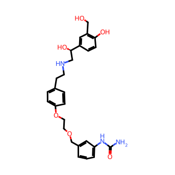 NC(=O)Nc1cccc(COCCOc2ccc(CCNC[C@@H](O)c3ccc(O)c(CO)c3)cc2)c1